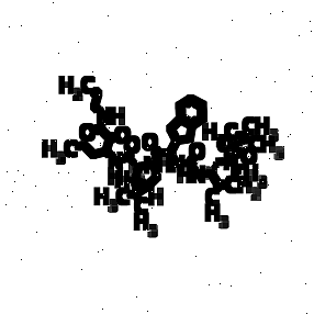 C=CCNC(=O)C(=O)C(CCC)NC(=O)[C@@H]1[C@@H]2[C@H](CN1C(=O)[C@@H](NC(=O)N[C@H](CN(C)S(=O)(=O)C(C)(C)C)C(=C)C)C1Cc3ccccc3C1)C2(C)C